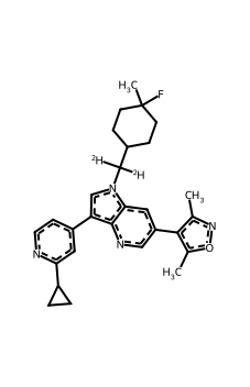 [2H]C([2H])(C1CCC(C)(F)CC1)n1cc(-c2ccnc(C3CC3)c2)c2ncc(-c3c(C)noc3C)cc21